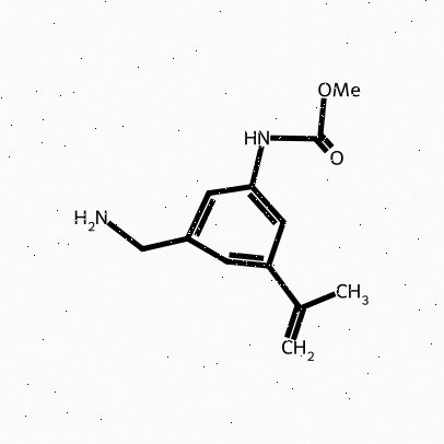 C=C(C)c1cc(CN)cc(NC(=O)OC)c1